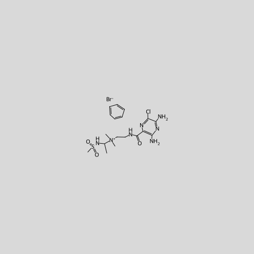 CC(NS(C)(=O)=O)[N+](C)(C)CCNC(=O)c1nc(Cl)c(N)nc1N.[Br-].c1ccccc1